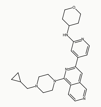 c1cc2c(N3CCN(CC4CC4)CC3)nc(-c3ccnc(NC4CCOCC4)c3)cc2cn1